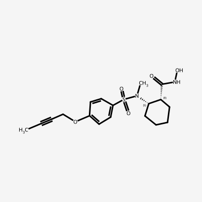 CC#CCOc1ccc(S(=O)(=O)N(C)[C@H]2CCCC[C@H]2C(=O)NO)cc1